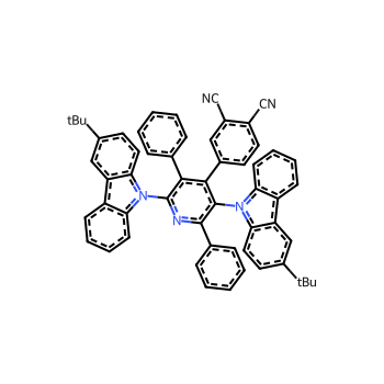 CC(C)(C)c1ccc2c(c1)c1ccccc1n2-c1nc(-c2ccccc2)c(-n2c3ccccc3c3cc(C(C)(C)C)ccc32)c(-c2ccc(C#N)c(C#N)c2)c1-c1ccccc1